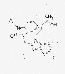 CC(O)CCCn1c(CN2C(=O)N(C3CC3)C3C=CN=CC32)nc2nc(Cl)ccc21